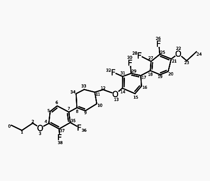 CCCOc1ccc(C2=CCC(COc3ccc(-c4ccc(OCC)c(F)c4F)c(F)c3F)CC2)c(F)c1F